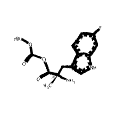 CCCCOC(=O)OC(=O)[C@@](C)(N)Cc1c[nH]c2cc(F)ccc12